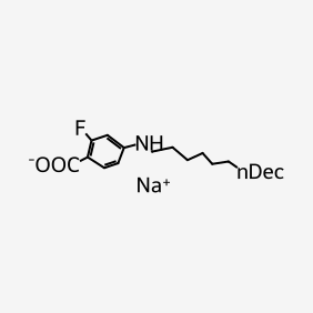 CCCCCCCCCCCCCCCCNc1ccc(C(=O)[O-])c(F)c1.[Na+]